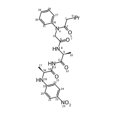 CC(C)CC(=O)N(CC(=O)N[C@@H](C)C(=O)NC(=O)[C@H](C)Nc1ccc([N+](=O)[O-])cc1)c1ccccc1